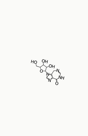 O=C1NC=NCc2c1ncn2C1OC(CO)C(O)C1O